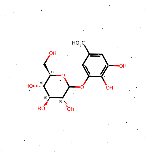 O=C(O)c1cc(O)c(O)c(OC2O[C@H](CO)[C@@H](O)[C@H](O)[C@H]2O)c1